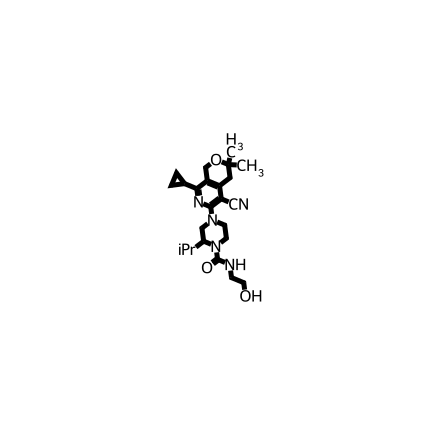 CC(C)C1CN(c2nc(C3CC3)c3c(c2C#N)CC(C)(C)OC3)CCN1C(=O)NCCO